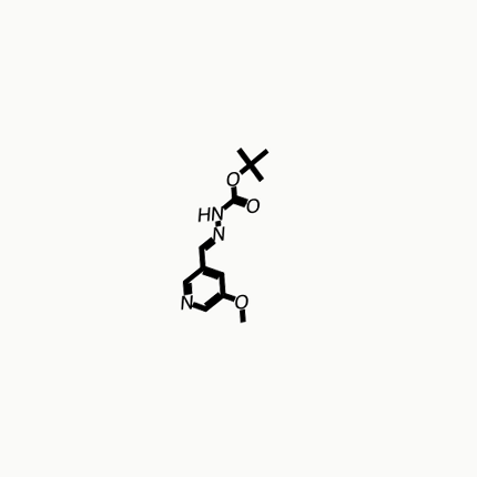 COc1cncc(C=NNC(=O)OC(C)(C)C)c1